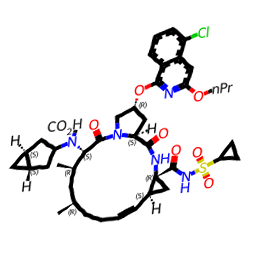 CCCOc1cc2c(Cl)cccc2c(O[C@@H]2C[C@H]3C(=O)N[C@]4(C(=O)NS(=O)(=O)C5CC5)C[C@H]4C=CCC[C@@H](C)C[C@@H](C)[C@H](N(C(=O)O)C4C[C@@H]5C[C@H]5C4)C(=O)N3C2)n1